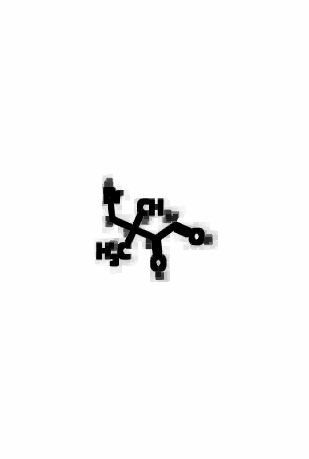 CC(C)(CBr)C(=O)C=O